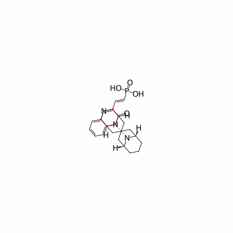 O=c1c(/C=C/P(=O)(O)O)nc2ccccc2n1[C@H]1C[C@H]2CCC[C@@H](C1)N2[C@H]1C[C@@H]2CCC[C@@H](C2)C1